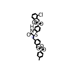 Cc1ccc(S(=O)(=O)Oc2ccc(/C=C3\Sc4ccc(S(=O)(=O)Cc5c(Cl)cccc5Cl)cc4NC3=O)cc2C)cc1